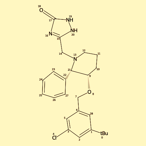 CC(C)(C)c1cc(Cl)cc(CO[C@H]2CCCN(Cc3nc(=O)[nH][nH]3)[C@H]2c2ccccc2)c1